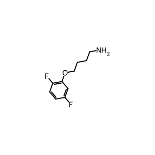 NCCCCOc1cc(F)ccc1F